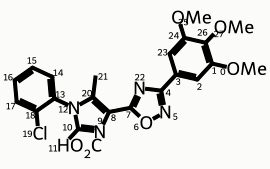 COc1cc(-c2noc(-c3nc(C(=O)O)n(-c4ccccc4Cl)c3C)n2)cc(OC)c1OC